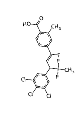 Cc1cc(C(F)=CC(c2cc(Cl)c(Cl)c(Cl)c2)C(C)(F)F)ccc1C(=O)O